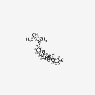 CN(C)CCN(C)N=Cc1ccc(CN2CCN(S(=O)(=O)c3cc4ccc(Cl)cc4[nH]3)CC2=O)cc1